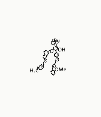 COc1ccccc1COCCCOc1ccc(C2C(O)CN(C(=O)OC(C)(C)C)CC2OCc2ccc3ccc(OCCN4CCN(C)CC4)cc3c2)cc1